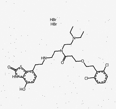 Br.Br.CCN(CC)CCN(CCNCCc1ccc(O)c2[nH]c(=O)sc12)C(=O)CCOCCc1c(Cl)cccc1Cl